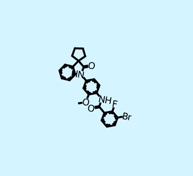 COc1cc(NC(=O)C2(c3ccccc3)CCCC2)ccc1NC(=O)c1cccc(Br)c1F